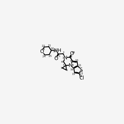 O=C(CN1CC2(CC2)n2c(cc3sc(Cl)cc32)C1=O)NC1CCOCC1